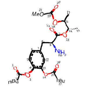 CCCCC(=O)Oc1ccc(C[C@H](N)C(=O)O[C@@H](C)C(C)OC(=O)OC)cc1OC(=O)CCCC